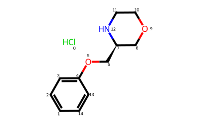 Cl.c1ccc(OC[C@@H]2COCCN2)cc1